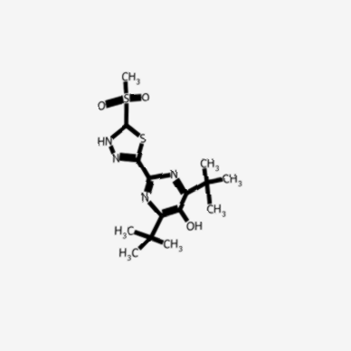 CC(C)(C)c1nc(C2=NNC(S(C)(=O)=O)S2)nc(C(C)(C)C)c1O